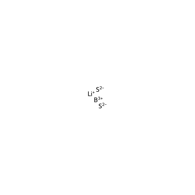 [B+3].[Li+].[S-2].[S-2]